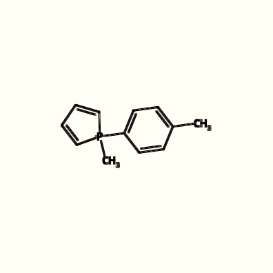 Cc1ccc([P]2(C)C=CC=C2)cc1